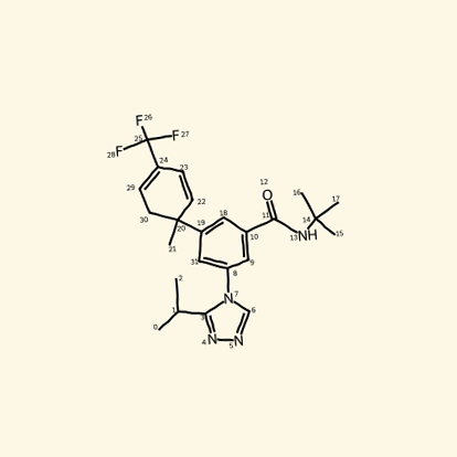 CC(C)c1nncn1-c1cc(C(=O)NC(C)(C)C)cc(C2(C)C=CC(C(F)(F)F)=CC2)c1